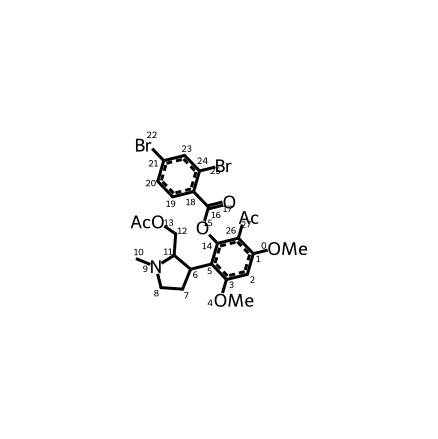 COc1cc(OC)c(C2CCN(C)C2COC(C)=O)c(OC(=O)c2ccc(Br)cc2Br)c1C(C)=O